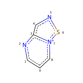 c1cnc2cns[n+]2c1